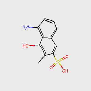 Cc1c(S(=O)(=O)O)cc2cccc(N)c2c1O